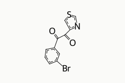 O=C(C(=O)c1cscn1)c1cccc(Br)c1